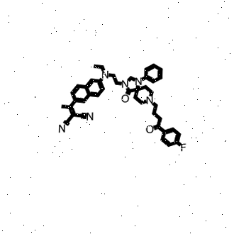 CCN(CCN1CN(c2ccccc2)C2(CCN(CCCC(=O)c3ccc(F)cc3)CC2)C1=O)c1ccc2cc(C(C)=C(C#N)C#N)ccc2c1